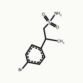 CC(CS(N)(=O)=O)c1ccc(Br)cc1